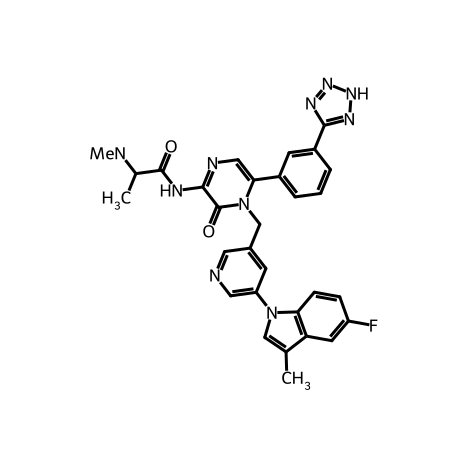 CNC(C)C(=O)Nc1ncc(-c2cccc(-c3nn[nH]n3)c2)n(Cc2cncc(-n3cc(C)c4cc(F)ccc43)c2)c1=O